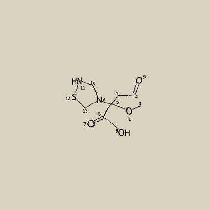 COC(CC=O)(C(=O)O)N1CNSC1